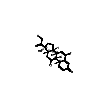 C[C@]12C=CC(=O)C=C1C(F)=C[C@H]1[C@@H]3CC[C@](O)(C(=O)CF)[C@@]3(C)CC(Cl)[C@@]12Cl